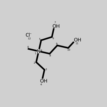 C[N+](CCO)(CCO)CCCO.[Cl-]